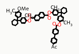 COc1ccc(C2(c3ccc(OC(=O)c4ccc5cc(C(=O)Oc6ccc(C7(c8ccc(OC(=O)c9ccc(-c%10ccc(C(C)=O)cc%10)cc9)c(C)c8)CCCCC7)cc6C)ccc5c4)c(C)c3)CCCCC2)cc1C